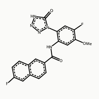 COc1cc(NC(=O)c2ccc3cc(F)ccc3c2)c(-n2nn[nH]c2=O)cc1F